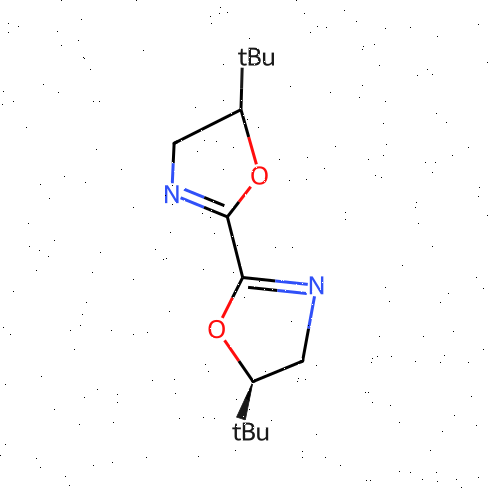 CC(C)(C)C1CN=C(C2=NC[C@@H](C(C)(C)C)O2)O1